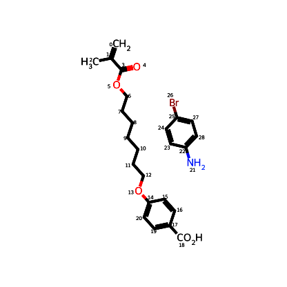 C=C(C)C(=O)OCCCCCCCOc1ccc(C(=O)O)cc1.Nc1ccc(Br)cc1